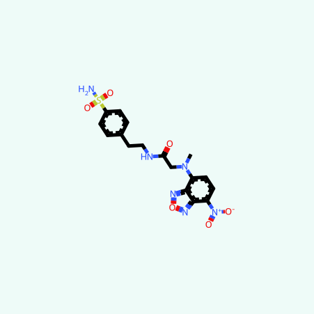 CN(CC(=O)NCCc1ccc(S(N)(=O)=O)cc1)c1ccc([N+](=O)[O-])c2nonc12